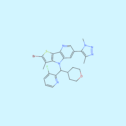 Cc1nnn(C)c1-c1cnc2c3sc(Br)c(C)c3n(C(c3ncccc3F)C3CCOCC3)c2c1